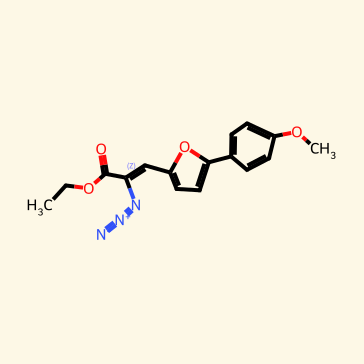 CCOC(=O)/C(=C/c1ccc(-c2ccc(OC)cc2)o1)N=[N+]=[N-]